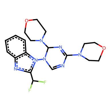 FC(F)c1nc2ccccc2n1N1C=NC(N2CCOCC2)=NC1N1CCOCC1